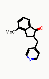 COc1cccc2c1CC(Cc1ccncc1)C2=O